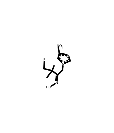 CC(C)(CF)/C(Cn1cnc([N+](=O)[O-])c1)=N\O